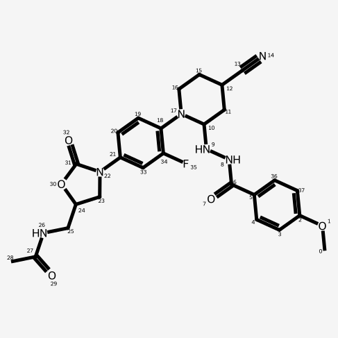 COc1ccc(C(=O)NNC2CC(C#N)CCN2c2ccc(N3CC(CNC(C)=O)OC3=O)cc2F)cc1